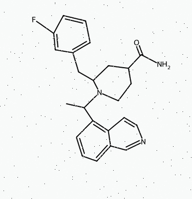 CC(c1cccc2cnccc12)N1CCC(C(N)=O)CC1Cc1cccc(F)c1